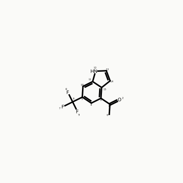 CC(=O)c1cc(C(F)(F)F)cc2[nH]ccc12